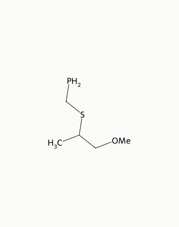 COCC(C)SCP